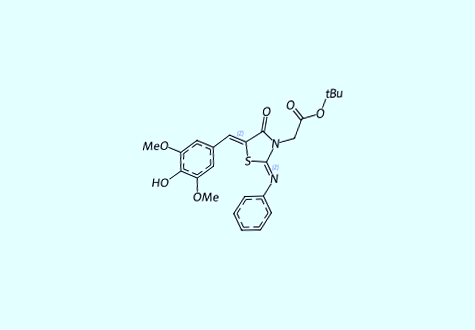 COc1cc(/C=C2\S/C(=N\c3ccccc3)N(CC(=O)OC(C)(C)C)C2=O)cc(OC)c1O